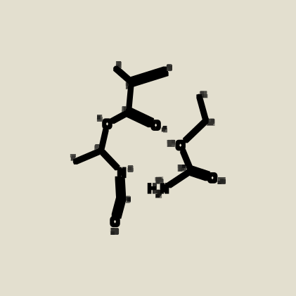 C=C(C)C(=O)OC(C)N=C=O.CCOC(N)=O